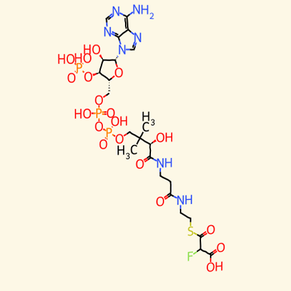 CC(C)(COP(=O)(O)OP(=O)(O)OC[C@H]1O[C@@H](n2cnc3c(N)ncnc32)[C@H](O)[C@@H]1OP(=O)(O)O)[C@@H](O)C(=O)NCCC(=O)NCCSC(=O)C(F)C(=O)O